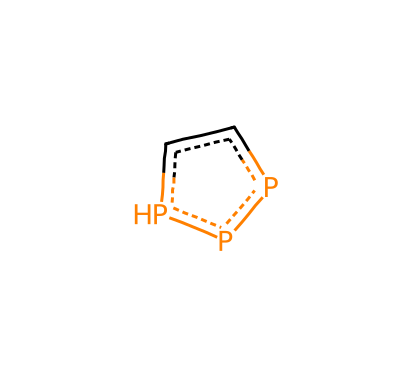 c1c[pH]pp1